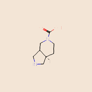 O=C(O)N1CC[C@@H]2CNCC2C1